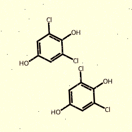 Oc1cc(Cl)c(O)c(Cl)c1.Oc1cc(Cl)c(O)c(Cl)c1